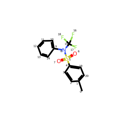 Cc1ccc(S(=O)(=O)N(c2ccccc2)C(F)(F)F)cc1